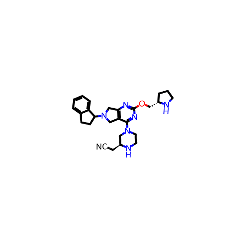 N#CC[C@H]1CN(c2nc(OC[C@@H]3CCCN3)nc3c2CN(C2CCc4ccccc42)C3)CCN1